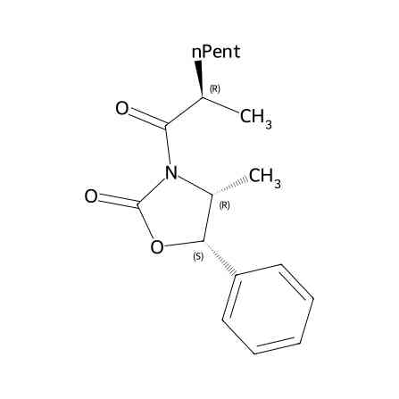 CCCCC[C@@H](C)C(=O)N1C(=O)O[C@@H](c2ccccc2)[C@H]1C